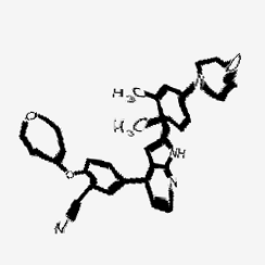 CC1=CC(N2CCOCC2)=CCC1(C)c1cc2c(-c3ccc(OC4CCOCC4)c(C#N)c3)ccnc2[nH]1